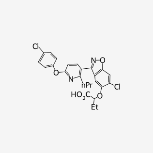 CCCc1nc(Oc2ccc(Cl)cc2)ccc1-c1noc2cc(Cl)c(OC(CC)C(=O)O)cc12